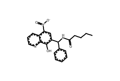 CCCCC(=O)NC(c1ccccc1)c1cc([N+](=O)[O-])c2cccnc2c1O